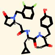 COC(=O)[C@H](Cc1ccc(O)cc1)NC(=O)[C@H](CC1CC1)NC(=O)C[C@@H]1CCC(=O)N1Cc1cccc(F)c1F